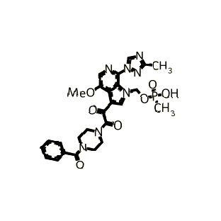 COc1cnc(-n2cnc(C)n2)c2c1c(C(=O)C(=O)N1CCN(C(=O)c3ccccc3)CC1)cn2COP(C)(=O)O